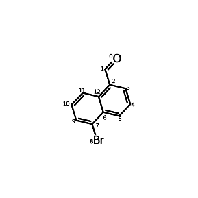 O=Cc1cccc2c(Br)cccc12